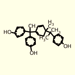 CC(C1=CCC(C)(C(C)(C)c2ccc(O)cc2)C=C1)(c1ccc(O)cc1)c1ccc(O)cc1